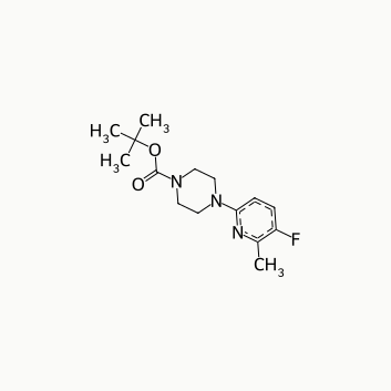 Cc1nc(N2CCN(C(=O)OC(C)(C)C)CC2)ccc1F